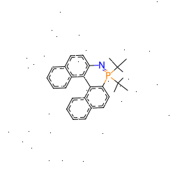 CC(C)(C)P1(C(C)(C)C)=Nc2ccc3ccccc3c2-c2c1ccc1ccccc21